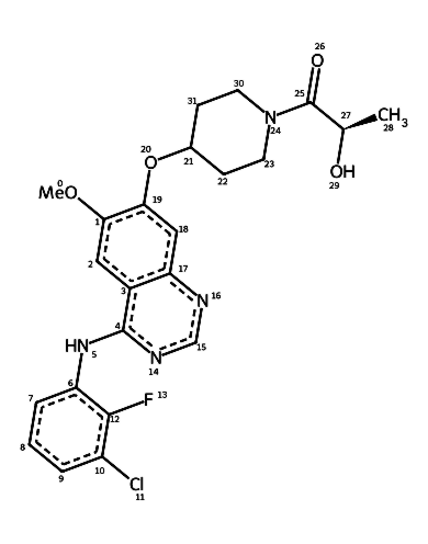 COc1cc2c(Nc3cccc(Cl)c3F)ncnc2cc1OC1CCN(C(=O)[C@@H](C)O)CC1